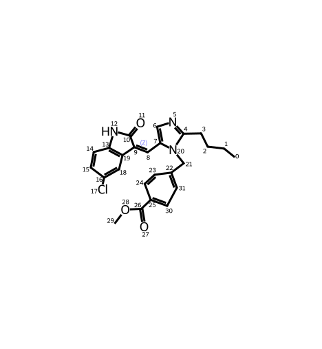 CCCCc1ncc(/C=C2\C(=O)Nc3ccc(Cl)cc32)n1Cc1ccc(C(=O)OC)cc1